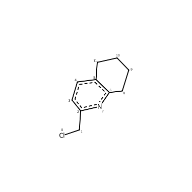 ClCc1ccc2c(n1)CCCC2